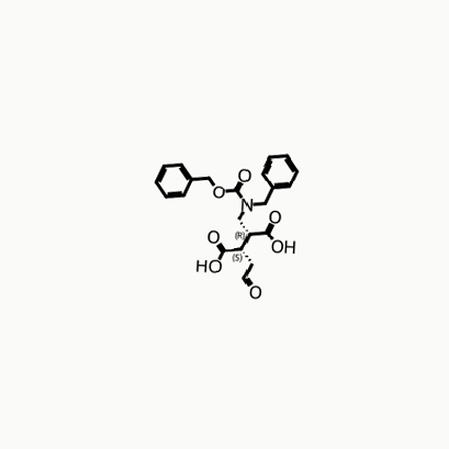 O=CC[C@H](C(=O)O)[C@H](CN(Cc1ccccc1)C(=O)OCc1ccccc1)C(=O)O